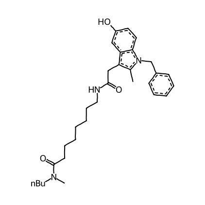 CCCCN(C)C(=O)CCCCCCCNC(=O)Cc1c(C)n(Cc2ccccc2)c2ccc(O)cc12